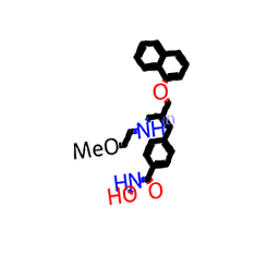 COCCNC/C(=C\c1ccc(C(=O)NO)cc1)COc1cccc2ccccc12